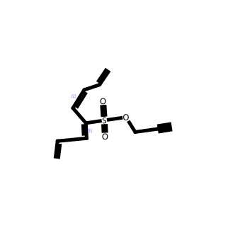 C#CCOS(=O)(=O)C(/C=C\C=C)=C/C=C